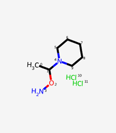 CC(ON)N1CCCCC1.Cl.Cl